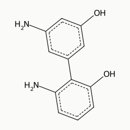 Nc1cc(O)cc(-c2c(N)cccc2O)c1